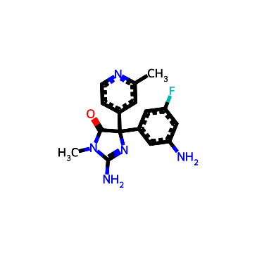 Cc1cc(C2(c3cc(N)cc(F)c3)N=C(N)N(C)C2=O)ccn1